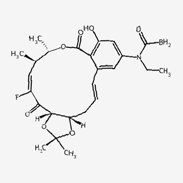 BC(=O)N(CC)c1cc(O)c2c(c1)/C=C/C[C@@H]1OC(C)(C)O[C@@H]1C(=O)/C(F)=C\[C@@H](C)[C@H](C)OC2=O